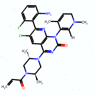 C=CC(=O)N1C[C@H](C)N(c2nc(=O)n(C3=C(C(C)C)N(C)CC=C3C)c3nc(-c4c(N)cccc4F)c(Cl)cc23)C[C@H]1C